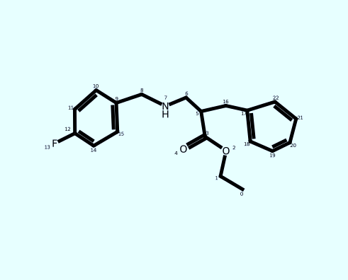 CCOC(=O)C(CNCc1ccc(F)cc1)Cc1ccccc1